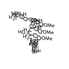 CC(=O)[O-].CC(=O)[O-].CC(=O)[O-].CC(=O)[O-].COc1ccc2cc([C@H](C)C(=O)O)ccc2c1.COc1ccc2cc([C@H](C)C(=O)O)ccc2c1.COc1ccc2cc([C@H](C)C(=O)O)ccc2c1.COc1ccc2cc([C@H](C)C(=O)O)ccc2c1.[O-2].[O-2].[O-2].[O-2].[Sn+4].[Sn+4].[Sn+4]